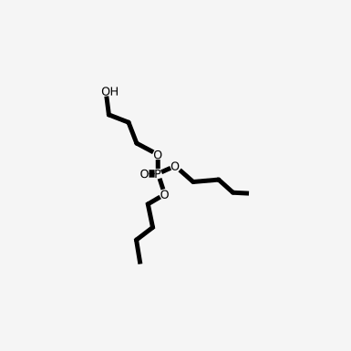 CCCCOP(=O)(OCCCC)OCCCO